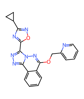 c1ccc(COc2nn3c(-c4nc(C5CC5)no4)nnc3c3ccccc23)nc1